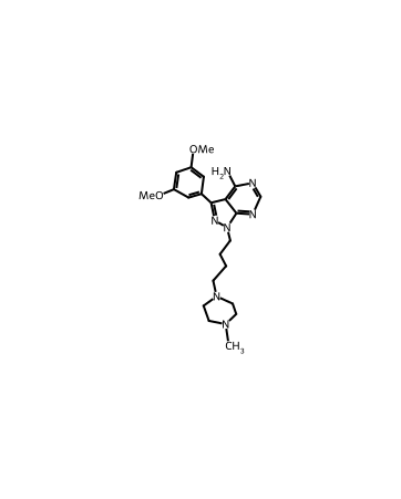 COc1cc(OC)cc(-c2nn(CCCCN3CCN(C)CC3)c3ncnc(N)c23)c1